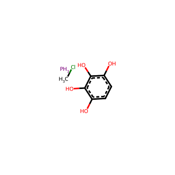 CCl.Oc1ccc(O)c(O)c1O.P